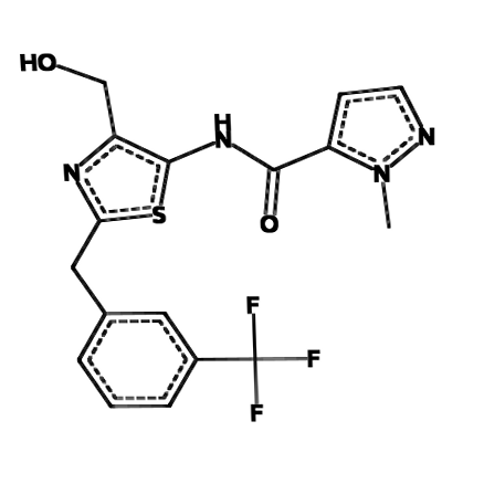 Cn1nccc1C(=O)Nc1sc(Cc2cccc(C(F)(F)F)c2)nc1CO